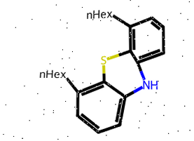 CCCCCCc1cccc2c1Sc1c(CCCCCC)cccc1N2